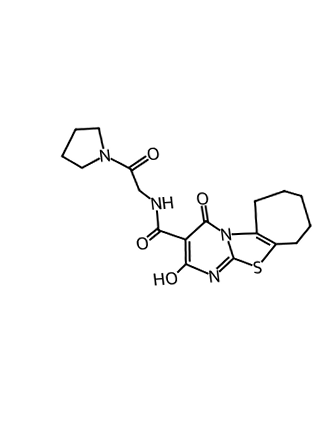 O=C(NCC(=O)N1CCCC1)c1c(O)nc2sc3c(n2c1=O)CCCCC3